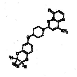 [2H]C1([2H])Oc2ccc(OC3CCN(c4cc(C)c5nccc(=O)n5n4)CC3)cc2OC1([2H])[2H]